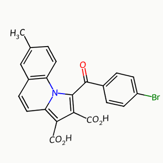 Cc1ccc2c(ccc3c(C(=O)O)c(C(=O)O)c(C(=O)c4ccc(Br)cc4)n32)c1